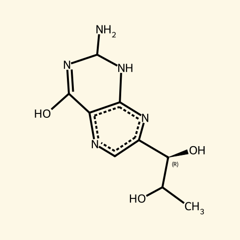 CC(O)[C@H](O)c1cnc2c(n1)NC(N)N=C2O